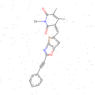 CCN1C(=O)C(C)=C(C)/C(=C/c2cc3oc(C#Cc4ccccc4)nc3s2)C1=O